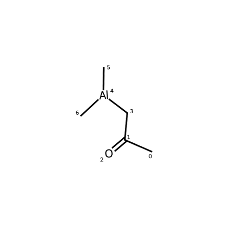 CC(=O)[CH2][Al]([CH3])[CH3]